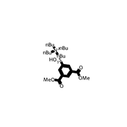 CCCC[N+](CCCC)(CCCC)CCCC.COC(=O)c1cc(C(=O)OC)cc(S(=O)(=O)O)c1